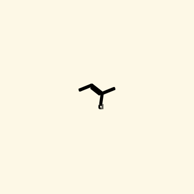 CC=C(C)Cl